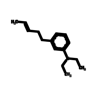 CC=CCCc1cccc(N(CC)CC)c1